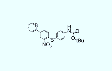 CC(C)(C)OC(=O)Nc1ccc(Sc2ccc(-c3bcccc3)cc2[N+](=O)[O-])cc1